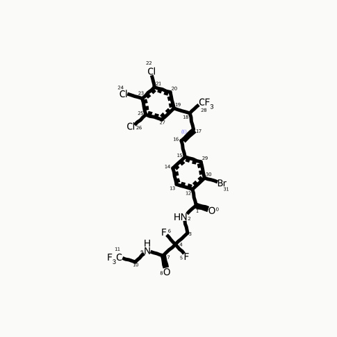 O=C(NCC(F)(F)C(=O)NCC(F)(F)F)c1ccc(/C=C/C(c2cc(Cl)c(Cl)c(Cl)c2)C(F)(F)F)cc1Br